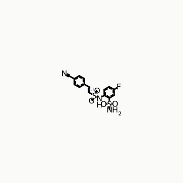 N#Cc1ccc(/C=C/S(=O)(=O)Nc2ccc(F)cc2S(N)(=O)=O)cc1